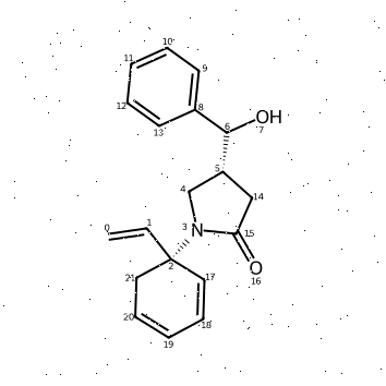 C=C[C@@]1(N2C[C@H](C(O)c3ccccc3)CC2=O)C=CC=CC1